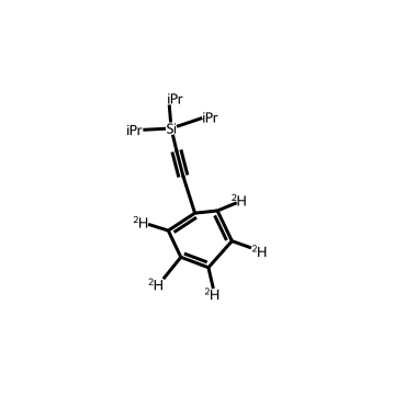 [2H]c1c([2H])c([2H])c(C#C[Si](C(C)C)(C(C)C)C(C)C)c([2H])c1[2H]